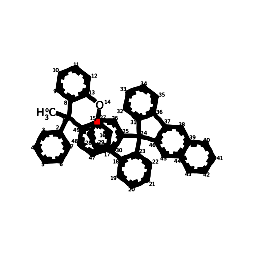 CC1(c2ccccc2)c2ccccc2Oc2cc(-c3ccccc3C3(c4ccccc4)c4ccccc4-c4cc5ccccc5cc43)ccc21